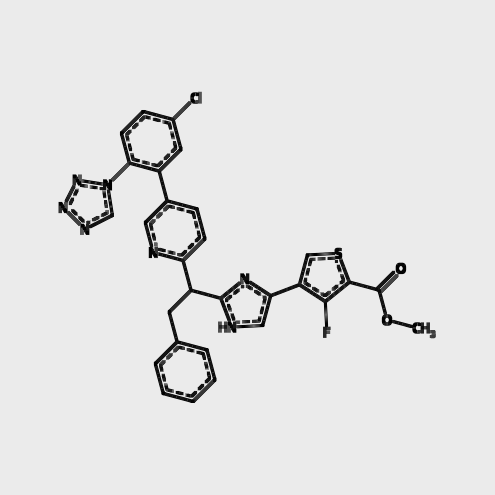 COC(=O)c1scc(-c2c[nH]c(C(Cc3ccccc3)c3ccc(-c4cc(Cl)ccc4-n4cnnn4)cn3)n2)c1F